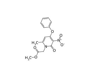 COC(=O)Cn1c(C)cc(Oc2ccccc2)c([N+](=O)[O-])c1=O